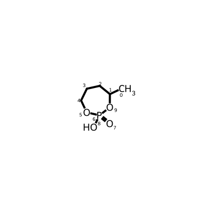 CC1CCCOP(=O)(O)O1